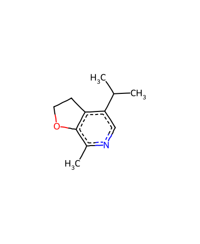 Cc1ncc(C(C)C)c2c1OCC2